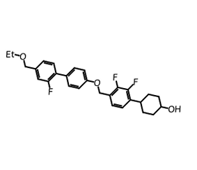 CCOCc1ccc(-c2ccc(OCc3ccc(C4CCC(O)CC4)c(F)c3F)cc2)c(F)c1